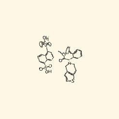 COC(=O)[C@H](c1ccccc1Cl)N1CCc2sccc2C1.O=S(=O)(O)c1cccc2c(S(=O)(=O)O)cccc12